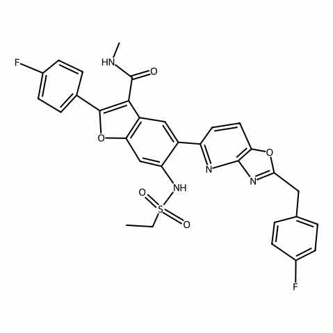 CCS(=O)(=O)Nc1cc2oc(-c3ccc(F)cc3)c(C(=O)NC)c2cc1-c1ccc2oc(Cc3ccc(F)cc3)nc2n1